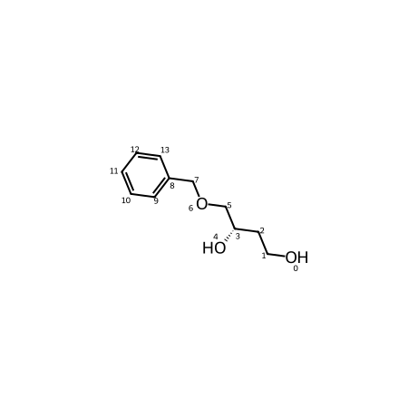 OCC[C@H](O)COCc1ccccc1